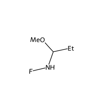 CCC(NF)OC